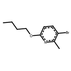 CCCCOc1ccc(Br)c(C)n1